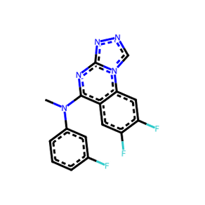 CN(c1cccc(F)c1)c1nc2nncn2c2cc(F)c(F)cc12